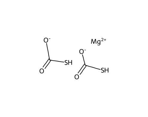 O=C([O-])S.O=C([O-])S.[Mg+2]